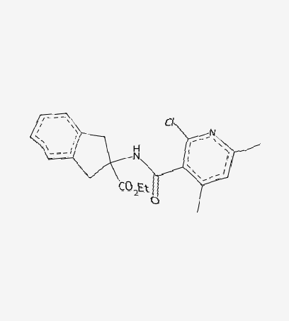 CCOC(=O)C1(NC(=O)c2c(C)cc(C)nc2Cl)Cc2ccccc2C1